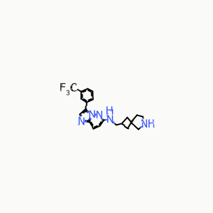 FC(F)(F)c1cccc(-c2cnc3ccc(NCC4CC5(CCNC5)C4)nn23)c1